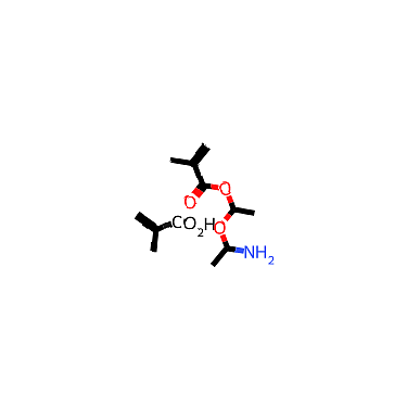 C=C(C)C(=O)O.C=C(C)C(=O)OC(C)OC(C)N